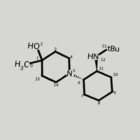 CC1(O)CCN([C@H]2CCCC[C@@H]2NC(C)(C)C)CC1